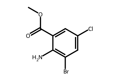 COC(=O)c1cc(Cl)cc(Br)c1N